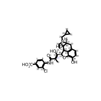 C/C(C(=O)Nc1ccc(C(=O)O)cc1Cl)=C(/O)[C@@H]1Oc2c(O)ccc3c2[C@@]12CCN(CC1CC1)[C@H](C3)[C@@]2(C)O